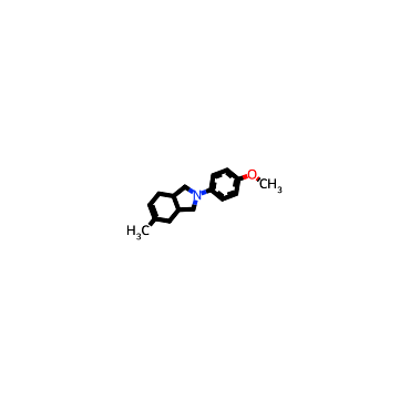 COc1ccc(N2CC3CC=C(C)CC3C2)cc1